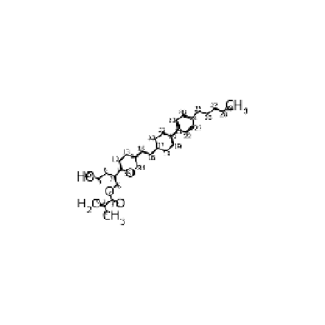 C=C(C)C(=O)OCC(CCO)C1CCC(CCC2CCC(c3ccc(CCCCC)cc3)CC2)CO1